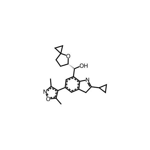 Cc1noc(C)c1-c1cc2c(c(C(O)[C@@H]3CCC4(CC4)O3)c1)N=C(C1CC1)C2